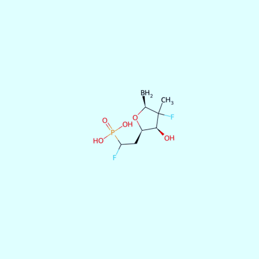 B[C@@H]1O[C@H](CC(F)P(=O)(O)O)[C@H](O)C1(C)F